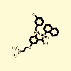 CN(C)CCOc1ccc(NCc2cccc(Cl)c2)c(C(=N)S(=O)(=O)c2cccc3ccccc23)c1